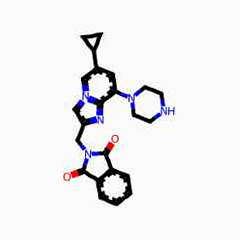 O=C1c2ccccc2C(=O)N1Cc1cn2cc(C3CC3)cc(N3CCNCC3)c2n1